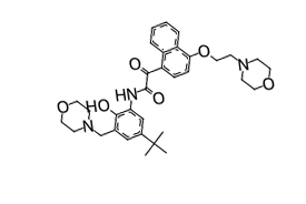 CC(C)(C)c1cc(CN2CCOCC2)c(O)c(NC(=O)C(=O)c2ccc(OCCN3CCOCC3)c3ccccc23)c1